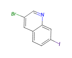 Brc1cnc2cc(I)ccc2c1